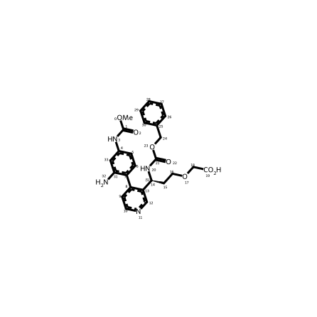 COC(=O)Nc1ccc(-c2ccncc2[C@H](CCOCC(=O)O)NC(=O)OCc2ccccc2)c(N)c1